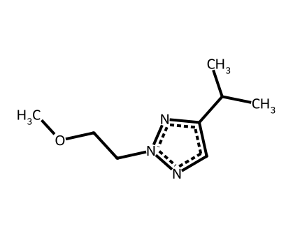 COCCn1ncc(C(C)C)n1